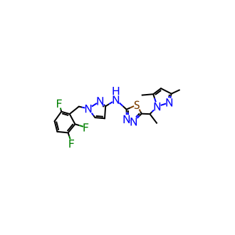 Cc1cc(C)n(C(C)c2nnc(Nc3ccn(Cc4c(F)ccc(F)c4F)n3)s2)n1